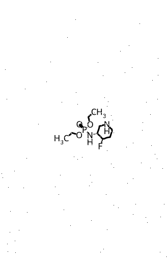 CCOP(=O)(N[C@@H]1CNCC[C@H]1F)OCC